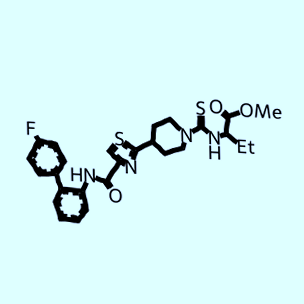 CCC(NC(=S)N1CCC(c2nc(C(=O)Nc3ccccc3-c3ccc(F)cc3)cs2)CC1)C(=O)OC